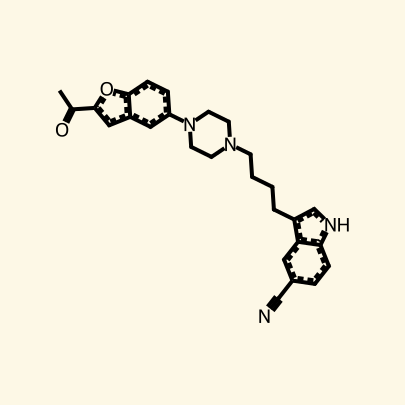 CC(=O)c1cc2cc(N3CCN(CCCCc4c[nH]c5ccc(C#N)cc45)CC3)ccc2o1